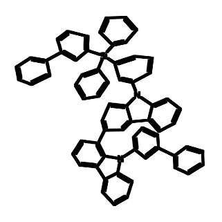 c1ccc(-c2cccc(-n3c4ccccc4c4cccc(-c5ccc6c(c5)c5ccccc5n6-c5cccc([Si](c6ccccc6)(c6ccccc6)c6cccc(-c7ccccc7)c6)c5)c43)c2)cc1